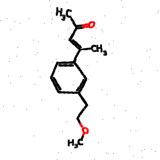 COCCc1cccc(C(C)=CC(C)=O)c1